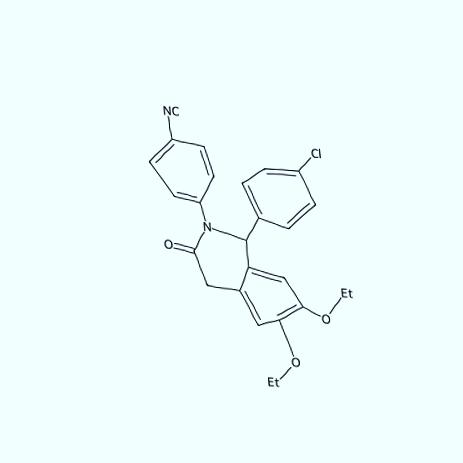 [C-]#[N+]c1ccc(N2C(=O)Cc3cc(OCC)c(OCC)cc3C2c2ccc(Cl)cc2)cc1